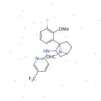 COc1c(F)cccc1C12CCC(CC1Nc1ccc(C(F)(F)F)cn1)N2C=O